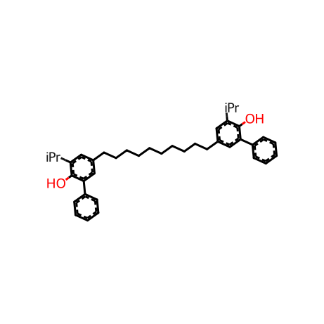 CC(C)c1cc(CCCCCCCCCCc2cc(-c3ccccc3)c(O)c(C(C)C)c2)cc(-c2ccccc2)c1O